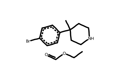 CC1(c2ccc(Br)cc2)CCNCC1.CCOC=O